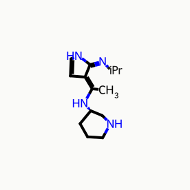 C/C(N[C@@H]1CCCNC1)=C1/C=CN/C1=N/C(C)C